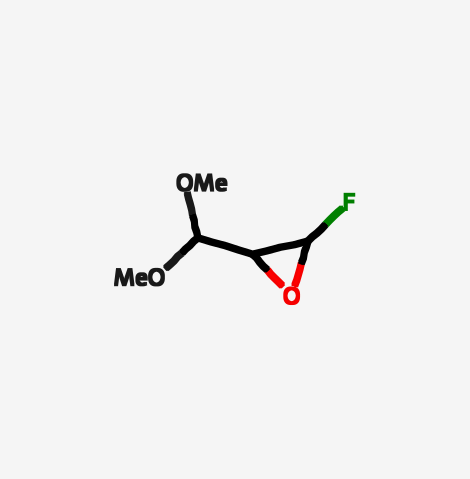 COC(OC)C1OC1F